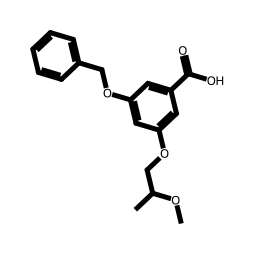 COC(C)COc1cc(OCc2ccccc2)cc(C(=O)O)c1